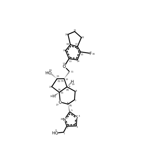 OCc1csc([C@H]2CC[C@@H]3[C@@H](COc4cc(F)c5c(c4)CCC5)[C@@H](O)C[C@@H]3O2)n1